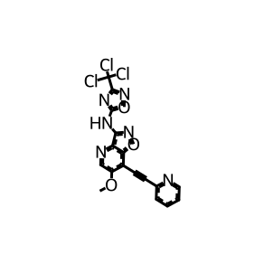 COc1cnc2c(Nc3nc(C(Cl)(Cl)Cl)no3)noc2c1C#Cc1ccccn1